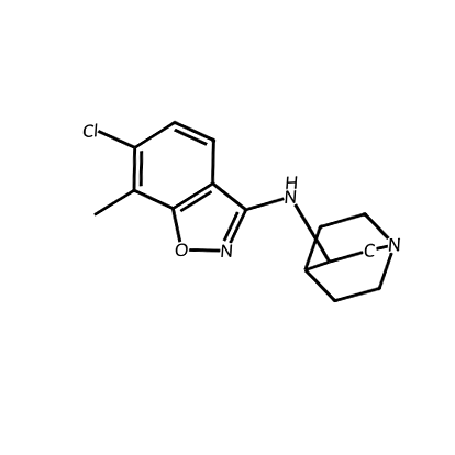 Cc1c(Cl)ccc2c(NC3CN4CCC3CC4)noc12